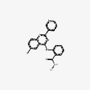 CCNC(=O)c1ccccc1Nc1nc(-c2cccnc2)nc2ccc(Cl)cc12